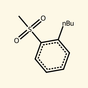 [CH2]CCCc1ccccc1S(C)(=O)=O